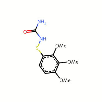 COc1ccc(SNC(N)=O)c(OC)c1OC